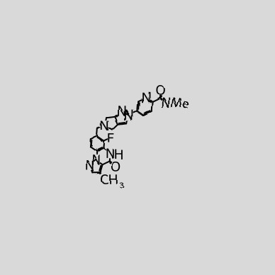 CNC(=O)c1ccc(-n2cc3c(n2)CN(Cc2ccc4c([nH]c(=O)c5c(C)cnn54)c2F)C3)cn1